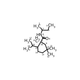 CCC(C)NC(=O)[C@@]1(C)CC(C)(C)CCC1C(C)C